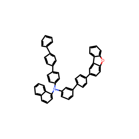 c1ccc(-c2ccc(-c3ccc(N(c4cccc(-c5ccc(-c6ccc7oc8ccccc8c7c6)cc5)c4)c4cccc5ccccc45)cc3)cc2)cc1